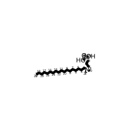 C[N+](I)(CCCCCCCCCCCCCCCCCI)CCCP(=O)(O)O